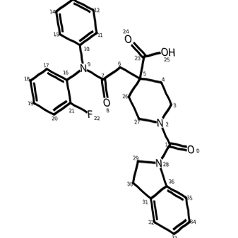 O=C(N1CCC(CC(=O)N(c2ccccc2)c2ccccc2F)(C(=O)O)CC1)N1CCc2ccccc21